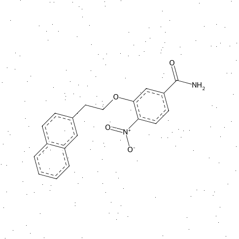 NC(=O)c1ccc([N+](=O)[O-])c(OCCc2ccc3ccccc3c2)c1